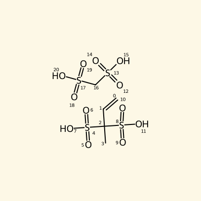 C=CC(C)(S(=O)(=O)O)S(=O)(=O)O.O=S(=O)(O)CS(=O)(=O)O